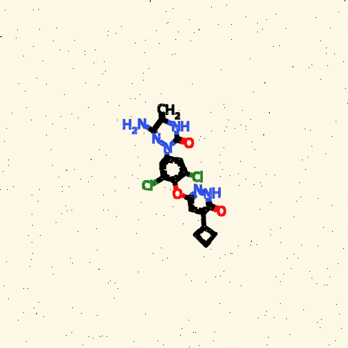 C=C1NC(=O)N(c2cc(Cl)c(Oc3cc(C4CCC4)c(=O)[nH]n3)c(Cl)c2)N=C1N